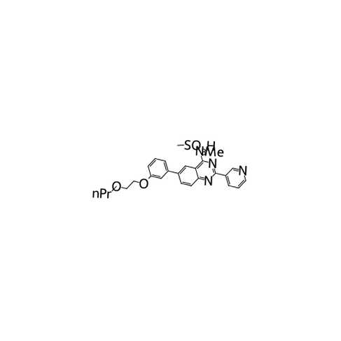 CCCOCCOc1cccc(-c2ccc3nc(-c4cccnc4)nc(NC)c3c2)c1.CS(=O)(=O)O